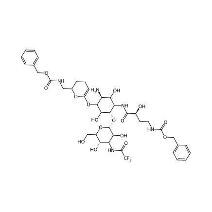 N[C@H]1C(O)C(NC(=O)[C@@H](O)CCNC(=O)OCc2ccccc2)[C@H](O[C@H]2OC(CO)[C@@H](O)C(NC(=O)C(F)(F)F)C2O)C(O)C1OC1=CCCC(CNC(=O)OCc2ccccc2)O1